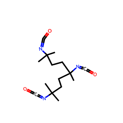 CC(C)(CCC(C)(CCC(C)(C)N=C=O)N=C=O)N=C=O